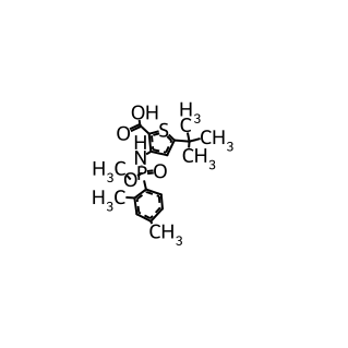 COP(=O)(Nc1cc(C(C)(C)C)sc1C(=O)O)c1ccc(C)cc1C